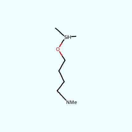 CNCCCCO[SiH](C)C